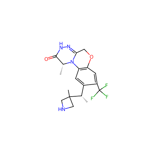 C[C@@H]1C(=O)NN=C2COc3cc(C(F)(F)F)c([C@H](C)C4(C)CNC4)cc3N21